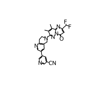 Cc1c(N2CCc3ncc(-c4cncc(C#N)c4)cc3C2)nn2c(=O)cc(C(F)F)nc2c1C